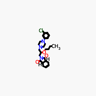 CCCCOC(CN1CCN(c2cccc(Cl)c2)CC1)CN1C(=O)[C@H]2CC=CC[C@H]2C1=O